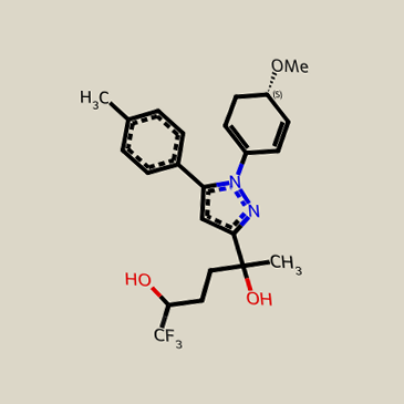 CO[C@@H]1C=CC(n2nc(C(C)(O)CCC(O)C(F)(F)F)cc2-c2ccc(C)cc2)=CC1